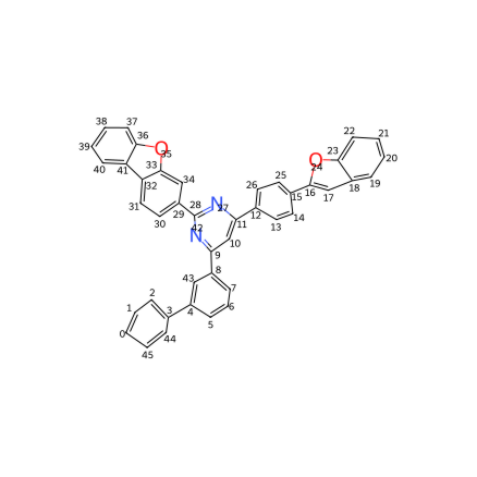 c1ccc(-c2cccc(-c3cc(-c4ccc(-c5cc6ccccc6o5)cc4)nc(-c4ccc5c(c4)oc4ccccc45)n3)c2)cc1